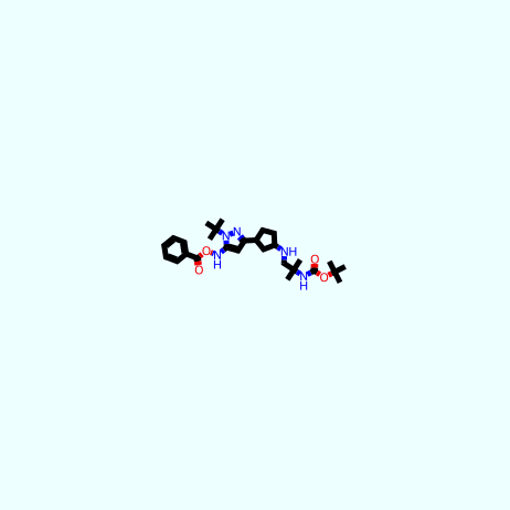 CC(C)(CNC1CCC(c2cc(NOC(=O)c3ccccc3)n(C(C)(C)C)n2)C1)NC(=O)OC(C)(C)C